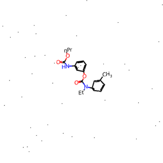 CCCOC(=O)Nc1cccc(OC(=O)N(CC)c2cccc(C)c2)c1